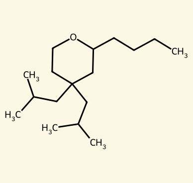 CCCCC1CC(CC(C)C)(CC(C)C)CCO1